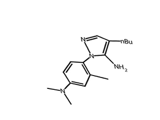 CCCCc1cnn(-c2ccc(N(C)C)cc2C)c1N